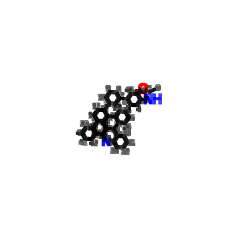 CC1Nc2ccc(-c3cccc(-c4ccc5ccccc5c4-c4ccccc4C4=c5ccccc5=NC(c5ccccc5)C4C)c3)cc2O1